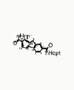 CCCCCCCC(=O)c1ccc2c(c1)Cc1cc(C(=O)CCCCCCC)ccc1-2